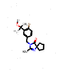 CCCCC1=NC2(CCCC2)C(=O)N1Cc1ccc(Br)c(C(C)(C)OCC)c1